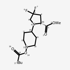 COC(=O)[C@H]1CC(F)(F)CN1C1CCN(OC(=O)C(C)(C)C)CC1